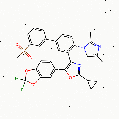 Cc1cn(-c2ccc(-c3cccc(S(C)(=O)=O)c3)cc2-c2nc(C3CC3)oc2-c2ccc3c(c2)OC(F)(F)O3)c(C)n1